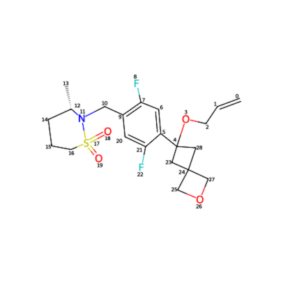 C=CCOC1(c2cc(F)c(CN3[C@@H](C)CCCS3(=O)=O)cc2F)CC2(COC2)C1